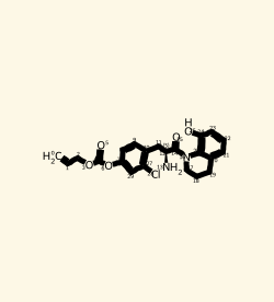 C=CCOC(=O)Oc1ccc(C[C@H](N)C(=O)N2CCCc3cccc(O)c32)c(Cl)c1